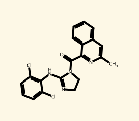 Cc1cc2ccccc2c(C(=O)N2CCN=C2Nc2c(Cl)cccc2Cl)n1